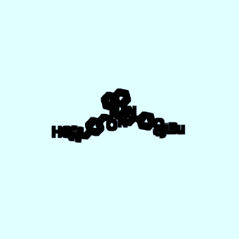 CC(C)(Cc1ccc(CC(=O)Nc2ncc(-c3ccc(O[Si](C)(C)C(C)(C)C)cc3)nc2-c2cccc3ccccc23)cc1)[Si](C)(C)O